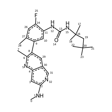 CNc1cc2nc(C)c(-c3cc(NC(=O)NC(C)(C)CC(C)(C)C)c(F)cc3C)cc2cn1